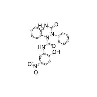 NC(=O)N(c1ccccc1)N(C(=O)Nc1cc([N+](=O)[O-])ccc1O)c1ccccc1